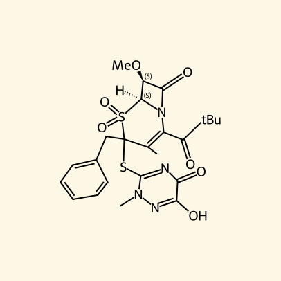 CO[C@H]1C(=O)N2C(C(=O)C(C)(C)C)=C(C)C(Cc3ccccc3)(Sc3nc(=O)c(O)nn3C)S(=O)(=O)[C@@H]12